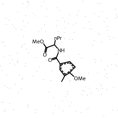 CCCC(NC(=O)c1ccc(OC)c(C)c1)C(=O)OC